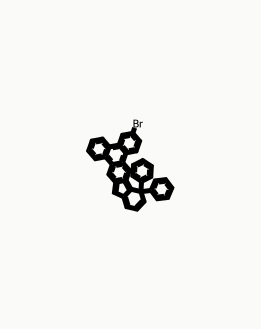 Brc1ccc2c(c1)c1ccccc1c1cc3c(cc21)=C1C(=CC=CC1(c1ccccc1)c1ccccc1)C=3